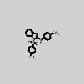 Cc1ccc(Nc2nc3ccccc3n2S(=O)(=O)c2ccc(C)cc2)cc1